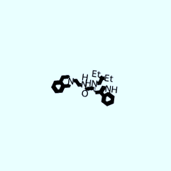 CCC(CC)CN[C@H](Cc1c[nH]c2ccccc12)C(=O)NCCN1CCc2ccccc2C1